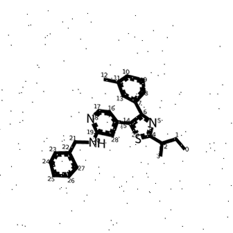 CCC(C)c1nc(-c2cccc(C)c2)c(-c2ccnc(NCc3ccccc3)c2)s1